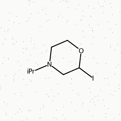 [CH2]C(C)N1CCOC(I)C1